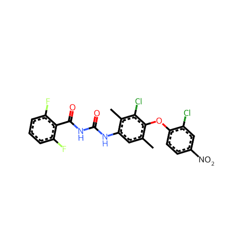 Cc1cc(NC(=O)NC(=O)c2c(F)cccc2F)c(C)c(Cl)c1Oc1ccc([N+](=O)[O-])cc1Cl